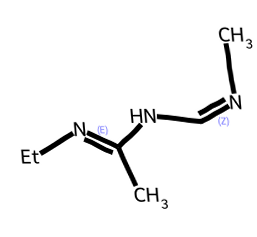 CC/N=C(\C)N/C=N\C